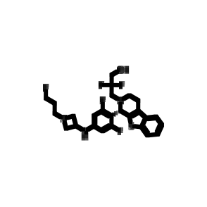 OCC(F)(F)CN1CCc2c(sc3ccccc23)[C@@H]1c1c(F)cc(NC2CN(CCCF)C2)cc1F